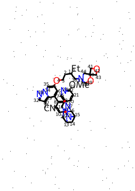 CCC(CCOc1cc(-c2ccc(N3C4CC3CN(Cc3ccc(OC)nc3)C4)nc2)c2c(C#N)cnn2c1)CN1COC2(COC2)C1